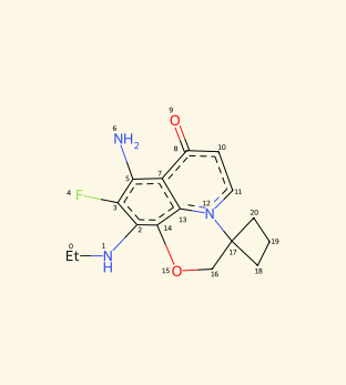 CCNc1c(F)c(N)c2c(=O)ccn3c2c1OCC31CCC1